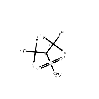 [CH2]S(=O)(=O)C(C(F)(F)F)C(F)(F)F